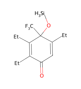 CCC1=CC(=O)C(CC)=C(CC)C1(O[SiH3])C(F)(F)F